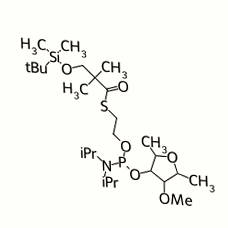 COC1C(C)OC(C)C1OP(OCCSC(=O)C(C)(C)CO[Si](C)(C)C(C)(C)C)N(C(C)C)C(C)C